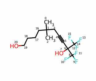 CC(C)(CC#CC(O)(C(F)(F)F)C(F)(F)F)CCCCO